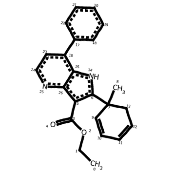 CCOC(=O)c1c(C2(C)C=CC=CC2)[nH]c2c(-c3ccccc3)ccnc12